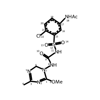 COC1=NC(C)=NCN1NC(=O)NS(=O)(=O)c1cc(NC(C)=O)ccc1Cl